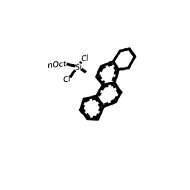 CCCCCCCC[Si](C)(Cl)Cl.c1ccc2c(c1)ccc1c3c(ccc12)CCCC3